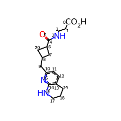 O=C(O)CCNC(=O)C1CC(Cc2ccc3c(n2)NCCC3)C1